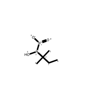 CCC(C)(C)N(O)[N+](=O)[O-]